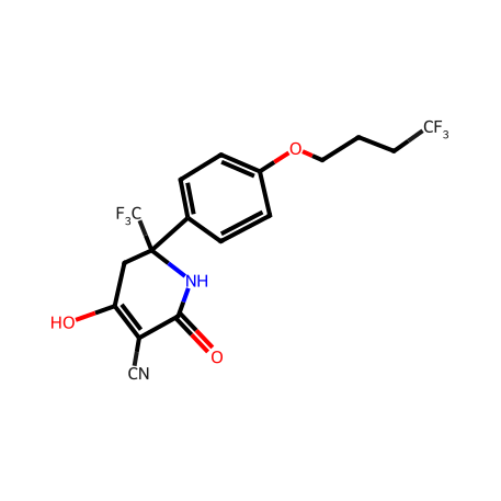 N#CC1=C(O)CC(c2ccc(OCCCC(F)(F)F)cc2)(C(F)(F)F)NC1=O